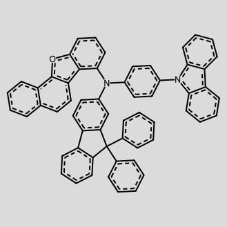 c1ccc(C2(c3ccccc3)c3ccccc3-c3ccc(N(c4ccc(-n5c6ccccc6c6ccccc65)cc4)c4cccc5oc6c7ccccc7ccc6c45)cc32)cc1